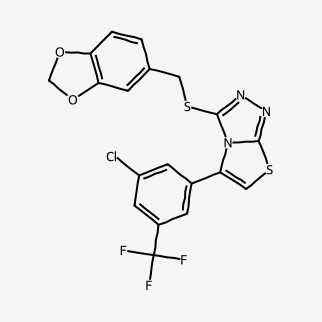 FC(F)(F)c1cc(Cl)cc(-c2csc3nnc(SCc4ccc5c(c4)OCO5)n23)c1